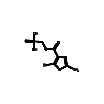 CC(C)c1oc(N)nc1C(=O)OCP(=O)(O)O